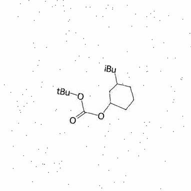 CCC(C)C1CCCC(OC(=O)OC(C)(C)C)C1